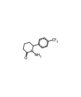 NN1C(=O)CCCC1c1ccc(C(F)(F)F)cc1